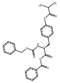 CCCC(CCC)C(=O)Oc1ccc(C[C@H](NC(=O)OCc2ccccc2)C(=O)OC(=O)c2ccccc2)cc1